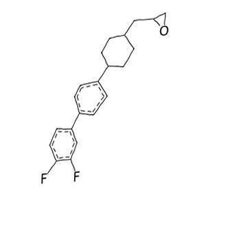 Fc1ccc(-c2ccc(C3CCC(CC4CO4)CC3)cc2)cc1F